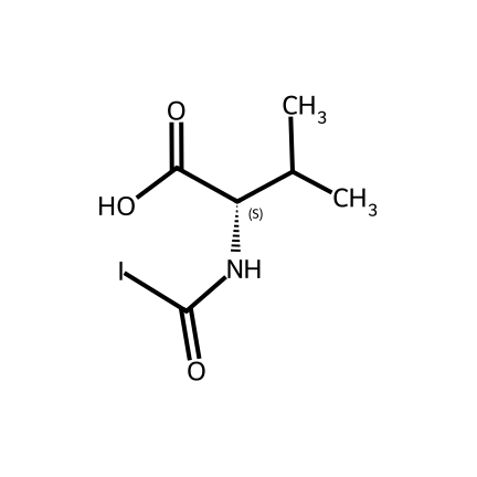 CC(C)[C@H](NC(=O)I)C(=O)O